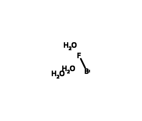 O.O.O.[B]F